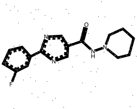 O=C(NN1CCCCC1)c1cnc(-c2cccc(F)c2)nc1